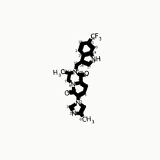 Cc1cn(-c2ccc3n(c2=O)CC(C)N(Cc2c[nH]c4cc(C(F)(F)F)ccc24)C3=O)cn1